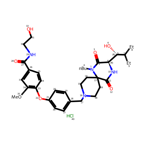 CCCCN1C(=O)[C@@H]([C@H](O)C(CC)CC)NC(=O)C12CCN(Cc1ccc(Oc3ccc(C(=O)NCCO)cc3OC)cc1)CC2.Cl